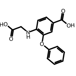 O=C(O)CNc1ccc(C(=O)O)cc1Oc1ccccc1